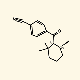 C[C@H]1CCCC(C)(C)[C@@H]1C(=O)c1ccc(C#N)cc1